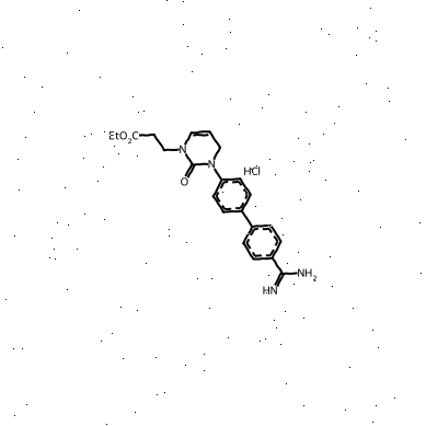 CCOC(=O)CCN1C=CCN(c2ccc(-c3ccc(C(=N)N)cc3)cc2)C1=O.Cl